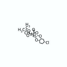 CC(C)(C)OC(=O)N(CC1COc2cc(Cl)ccc2O1)[SH](=O)=O